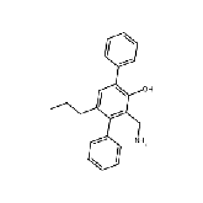 CCCc1cc(-c2ccccc2)c(O)c(CN)c1-c1ccccc1